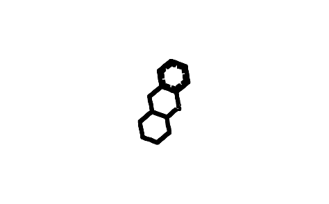 c1ccc2c(c1)CC1CCCCC1S2